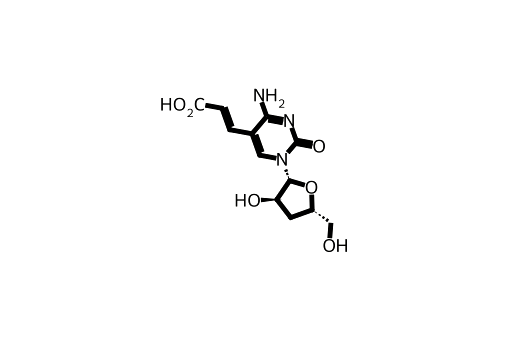 Nc1nc(=O)n([C@@H]2O[C@H](CO)C[C@H]2O)cc1C=CC(=O)O